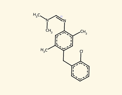 Cc1cc(/N=C\N(C)C)c(C)cc1Cc1ccccc1Cl